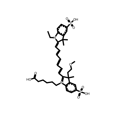 CCN1/C(=C/C=C/C=C/C=C/C2=[N+](CCCCCC(=O)O)c3ccc(S(=O)(=O)O)cc3C2(C)CCOC)C(C)(C)c2cc(S(=O)(=O)O)ccc21